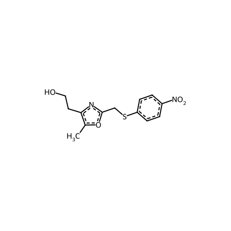 Cc1oc(CSc2ccc([N+](=O)[O-])cc2)nc1CCO